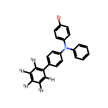 [2H]c1c([2H])c([2H])c(-c2ccc(N(c3ccccc3)c3ccc(Br)cc3)cc2)c([2H])c1[2H]